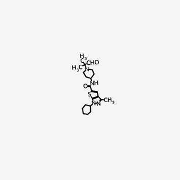 Cc1nn(C2CCCCC2)c2sc(C(=O)NC3CCN(C(C)(C)C=O)CC3)cc12